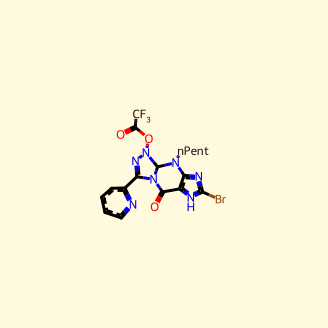 CCCCCN1c2nc(Br)[nH]c2C(=O)N2C(c3ccccn3)=NN(OC(=O)C(F)(F)F)C21